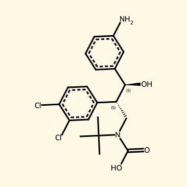 CC(C)(C)N(C[C@H](c1ccc(Cl)c(Cl)c1)[C@H](O)c1cccc(N)c1)C(=O)O